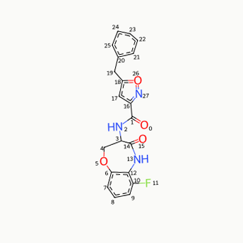 O=C(NC1COc2cccc(F)c2NC1=O)c1cc(Cc2ccccc2)on1